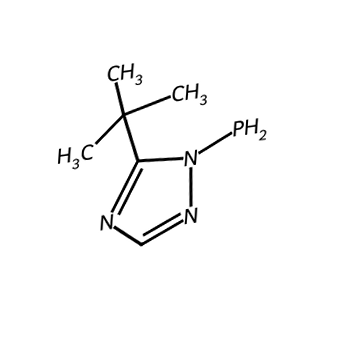 CC(C)(C)c1ncnn1P